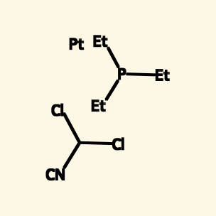 CCP(CC)CC.[C-]#[N+]C(Cl)Cl.[Pt]